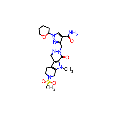 Cn1c2c(c3cnn(Cc4nn(C5CCCCO5)cc4C(N)=O)c(=O)c31)CCN(S(C)(=O)=O)C2